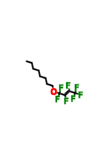 CCCCCCCCOC(F)(F)C(F)=C(F)C(F)(F)F